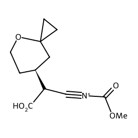 COC(=O)[N+]#CC(C(=O)O)[C@H]1CCOC2(CC2)C1